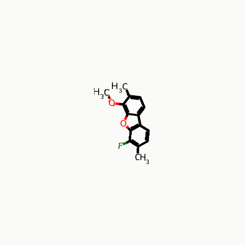 COc1c(C)ccc2c1oc1c(F)c(C)ccc12